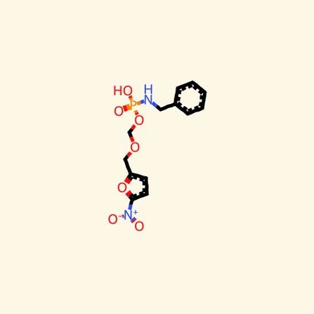 O=[N+]([O-])c1ccc(COCOP(=O)(O)NCc2ccccc2)o1